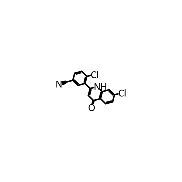 N#Cc1ccc(Cl)c(-c2cc(=O)c3ccc(Cl)cc3[nH]2)c1